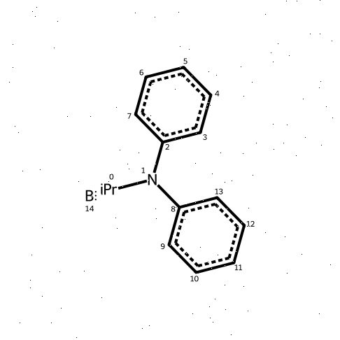 CC(C)N(c1ccccc1)c1ccccc1.[B]